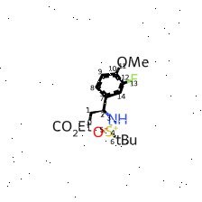 CCOC(=O)C[C@H](N[S+]([O-])C(C)(C)C)c1ccc(OC)c(F)c1